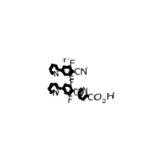 N#Cc1c(F)cc(-c2ccccn2)cc1F.N#Cc1c(F)cc(-c2ccccn2)cc1F.O=C(O)c1ccccn1.[Ir]